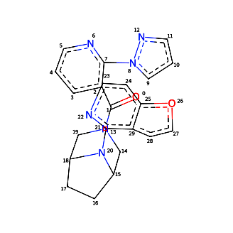 O=C(c1cccnc1-n1cccn1)N1CC2CCC(C1)N2c1nccc2occc12